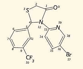 O=C1CSC(c2cccc(C(F)(F)F)c2)N1c1ccc(Br)cn1